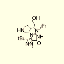 CC(C)CN(c1nc2c(C(C)(C)C)nn(C)c2c(=O)[nH]1)C(CCO)C1CCNCC1